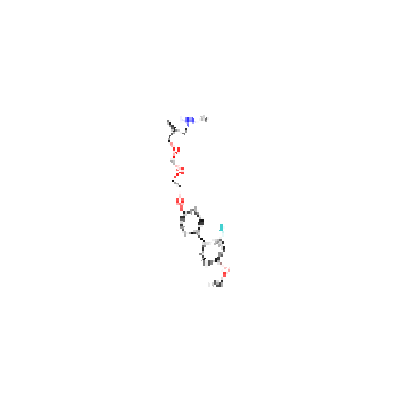 C=C(CNCC)COCOCCOc1ccc(-c2ccc(OCCCC)cc2F)cc1